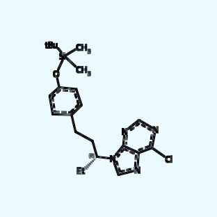 CC[C@H](CCc1ccc(O[Si](C)(C)C(C)(C)C)cc1)n1cnc2c(Cl)ncnc21